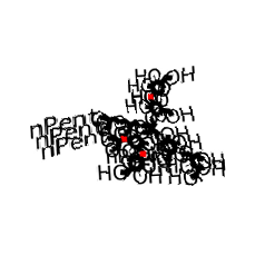 CCCCCOCC(COCCCCC)COCC(COCC(COCCCCC)COCCCCC)COCC(CO[C@@H]1OC(CO)[C@@H](OOC(CO)[C@@H](O)C(O)[C@@H](C)O)C(O)C1O)(CO[C@@H]1OC(CO)[C@@H](O[C@H]2OC(CO)[C@@H](O)[C@H](O)C2O)C(O)C1O)CO[C@@H]1OC(CO)[C@H](O[C@H]2OC(CO)[C@@H](O)C(O)C2O)C(O)C1O